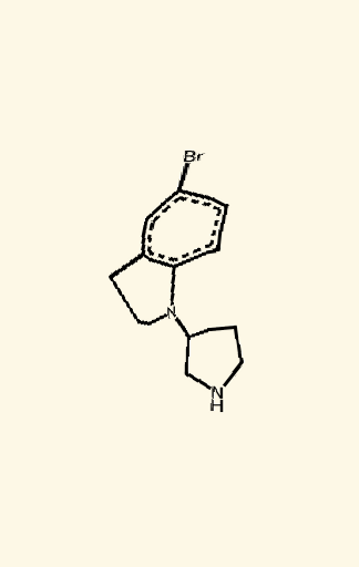 Brc1ccc2c(c1)CCN2C1CCNC1